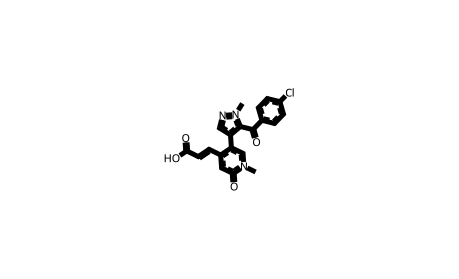 Cn1ncc(-c2cn(C)c(=O)cc2/C=C/C(=O)O)c1C(=O)c1ccc(Cl)cc1